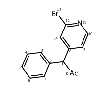 CC(=O)C(c1ccccc1)c1ccnc(Br)c1